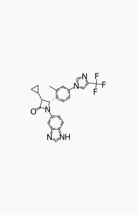 Cc1cc(-n2cnc(C(F)(F)F)c2)ccc1[C@H]1C(C2CC2)C(=O)N1c1ccc2[nH]cnc2c1